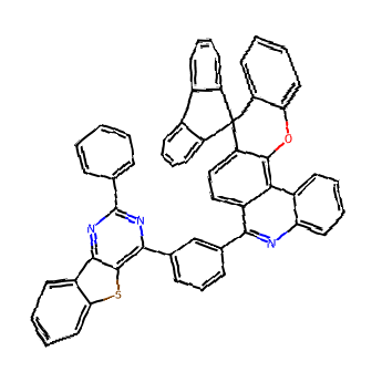 c1ccc(-c2nc(-c3cccc(-c4nc5ccccc5c5c6c(ccc45)C4(c5ccccc5O6)c5ccccc5-c5ccccc54)c3)c3sc4ccccc4c3n2)cc1